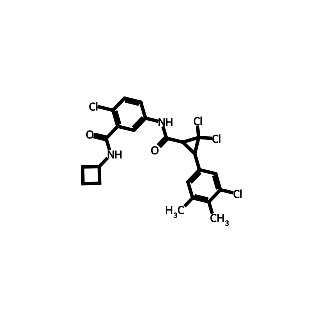 Cc1cc(C2C(C(=O)Nc3ccc(Cl)c(C(=O)NC4CCC4)c3)C2(Cl)Cl)cc(Cl)c1C